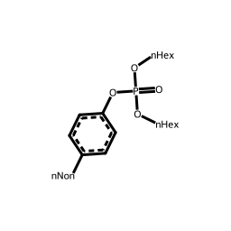 CCCCCCCCCc1ccc(OP(=O)(OCCCCCC)OCCCCCC)cc1